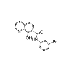 O=C(Nc1cccc(Br)c1)c1ccc2cccnc2c1O